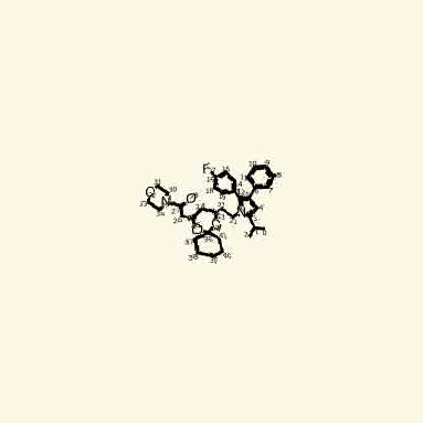 CC(C)c1cc(-c2ccccc2)c(-c2ccc(F)cc2)n1CC[C@@H]1C[C@H](CC(=O)N2CCOCC2)OC2(CCCCC2)O1